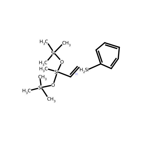 C[Si](C)(C)O[Si](C)(/C=C/[SiH2]c1ccccc1)O[Si](C)(C)C